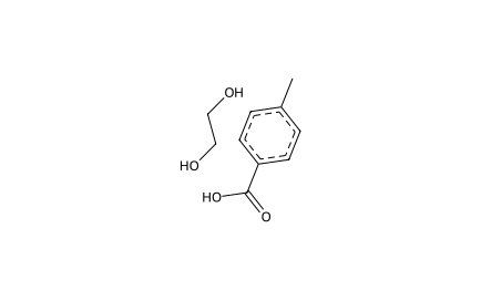 Cc1ccc(C(=O)O)cc1.OCCO